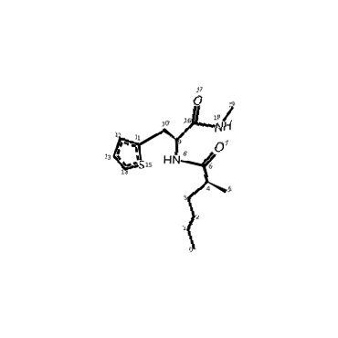 CCCC[C@H](C)C(=O)N[C@@H](Cc1cccs1)C(=O)NC